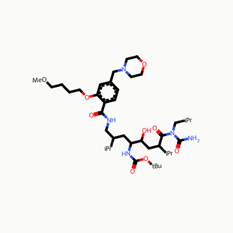 COCCCCOc1cc(CN2CCOCC2)ccc1C(=O)NCC(CC(NC(=O)OC(C)(C)C)C(O)CC(C(=O)N(CC(C)C)C(N)=O)C(C)C)C(C)C